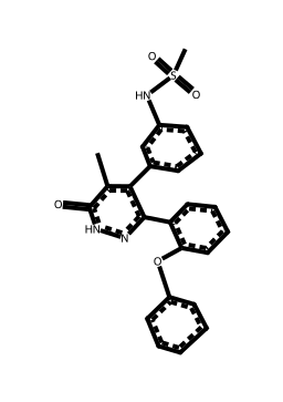 Cc1c(-c2cccc(NS(C)(=O)=O)c2)c(-c2ccccc2Oc2ccccc2)n[nH]c1=O